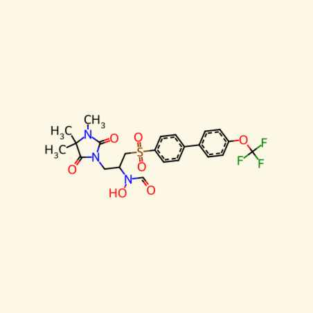 CN1C(=O)N(CC(CS(=O)(=O)c2ccc(-c3ccc(OC(F)(F)F)cc3)cc2)N(O)C=O)C(=O)C1(C)C